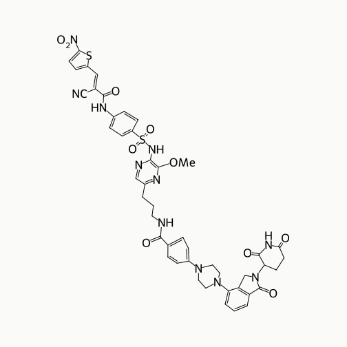 COc1nc(CCCNC(=O)c2ccc(N3CCN(c4cccc5c4CN(C4CCC(=O)NC4=O)C5=O)CC3)cc2)cnc1NS(=O)(=O)c1ccc(NC(=O)/C(C#N)=C/c2ccc([N+](=O)[O-])s2)cc1